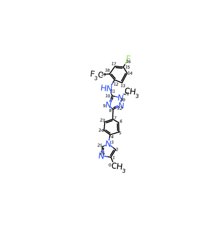 Cc1cn(-c2ccc(-c3nc(Nc4ccc(F)cc4C(F)(F)F)n(C)n3)cc2)cn1